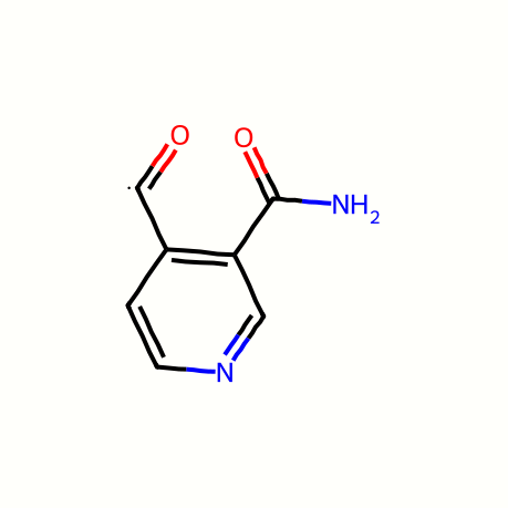 NC(=O)c1cnccc1[C]=O